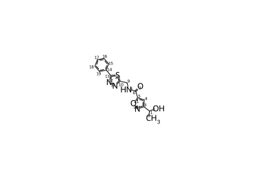 CC(O)c1cc(C(=O)NCc2nnc(-c3ccccc3)s2)on1